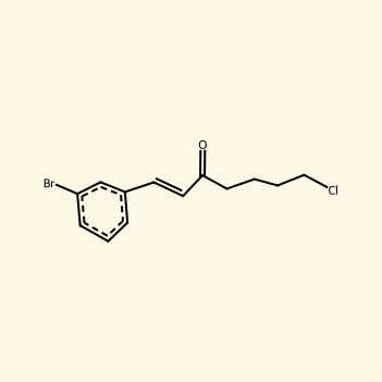 O=C(/C=C/c1cccc(Br)c1)CCCCCl